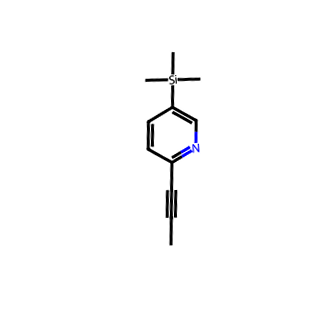 CC#Cc1ccc([Si](C)(C)C)cn1